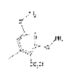 CCOC(=O)c1c(C)cc(OP)cc1OP